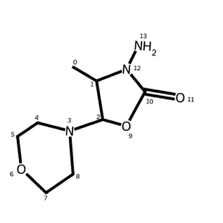 CC1C(N2CCOCC2)OC(=O)N1N